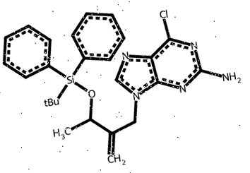 C=C(Cn1cnc2c(Cl)nc(N)nc21)C(C)O[Si](c1ccccc1)(c1ccccc1)C(C)(C)C